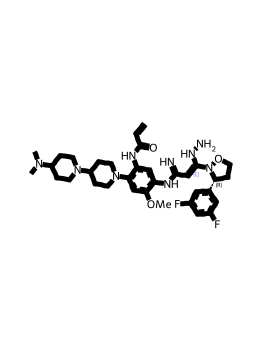 C=CC(=O)Nc1cc(NC(=N)/C=C(\NN)N2OCC[C@@H]2c2cc(F)cc(F)c2)c(OC)cc1N1CCC(N2CCC(N(C)C)CC2)CC1